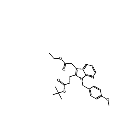 CCOC(=O)Cc1c(CCC(=O)OC(C)(C)C)n(Cc2ccc(OC)cc2)c2ncccc12